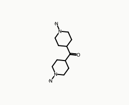 [N]N1CCC(C(=O)C2CCN([N])CC2)CC1